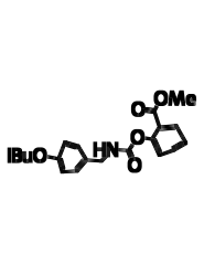 COC(=O)c1ccccc1OC(=O)NCc1ccc(OCC(C)C)cc1